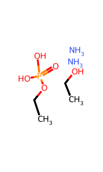 CCO.CCOP(=O)(O)O.N.N